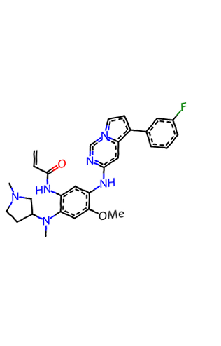 C=CC(=O)Nc1cc(Nc2cc3c(-c4cccc(F)c4)ccn3cn2)c(OC)cc1N(C)C1CCN(C)C1